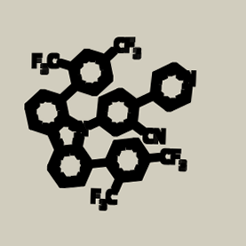 N#Cc1cc(-n2c3c(-c4ccc(C(F)(F)F)cc4C(F)(F)F)cccc3c3cccc(-c4ccc(C(F)(F)F)cc4C(F)(F)F)c32)ccc1-c1ccncc1